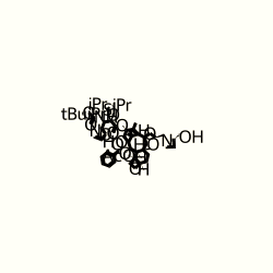 CC(=O)O[C@@]12CO[C@@H]1CC[C@@]1(C)[C@@H]3O[C@H](CN4CC[C@H]4CO)O[C@@H]3C3=C(C)[C@@H](OC(=O)[C@H](O[Si](C(C)C)(C(C)C)C(C)C)[C@@H](NC(=O)OC(C)(C)C)c4ncco4)C[C@@](O)([C@@H](OC(=O)c4ccccc4)[C@@H]12)C3(C)C